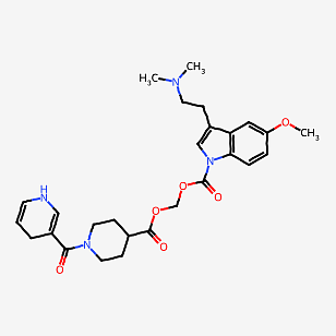 COc1ccc2c(c1)c(CCN(C)C)cn2C(=O)OCOC(=O)C1CCN(C(=O)C2=CNC=CC2)CC1